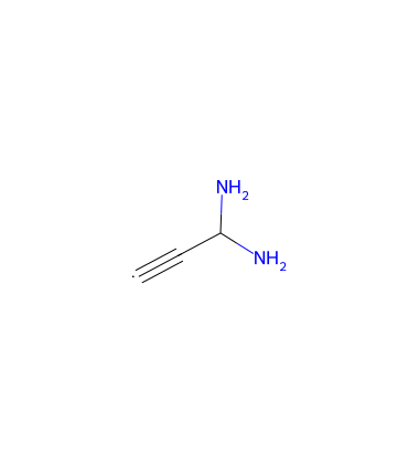 [C]#CC(N)N